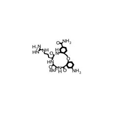 CC[C@H](C)[C@@H]1NC(=O)c2cc(N)ccc2OCc2ccc(C(N)=O)cc2NC(=O)[C@H](CCCNC(=N)N)NC1=O